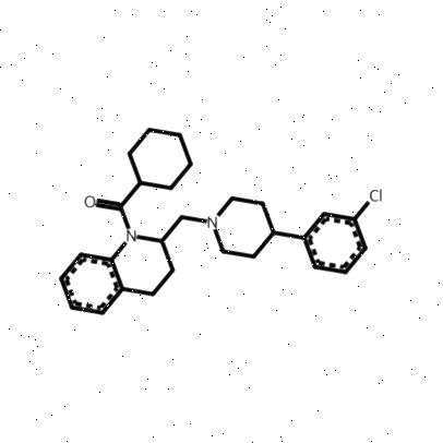 O=C(C1CCCCC1)N1c2ccccc2CCC1CN1CCC(c2cccc(Cl)c2)CC1